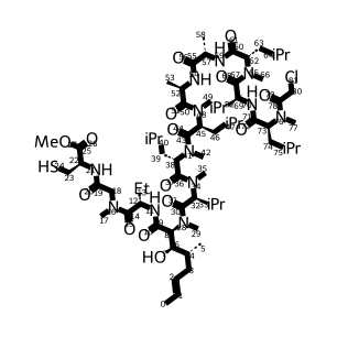 C/C=C/C[C@@H](C)[C@@H](O)[C@@H](C(=O)N[C@@H](CC)C(=O)N(C)CC(=O)N[C@@H](CS)C(=O)OC)N(C)C(=O)[C@H](C(C)C)N(C)C(=O)[C@H](CC(C)C)N(C)C(=O)[C@H](CC(C)C)N(C)C(=O)[C@@H](C)NC(=O)[C@H](C)NC(=O)[C@H](CC(C)C)N(C)C(=O)[C@@H](NC(=O)[C@H](CC(C)C)N(C)C(=O)CCl)C(C)C